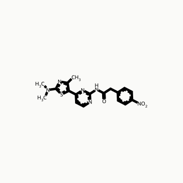 Cc1nc(N(C)C)sc1-c1ccnc(NC(=O)Cc2ccc([N+](=O)[O-])cc2)n1